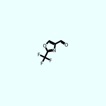 O=Cc1coc(C(F)(F)F)n1